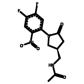 CC(=O)NC[C@@H]1CC(=O)N(c2cc(F)c(F)cc2[N+](=O)[O-])C1